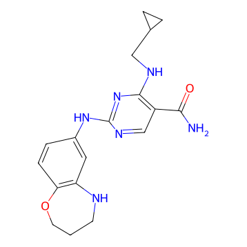 NC(=O)c1cnc(Nc2ccc3c(c2)NCCCO3)nc1NCC1CC1